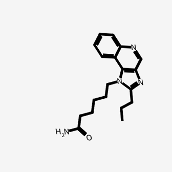 CCCc1nc2cnc3ccccc3c2n1CCCCCC(N)=O